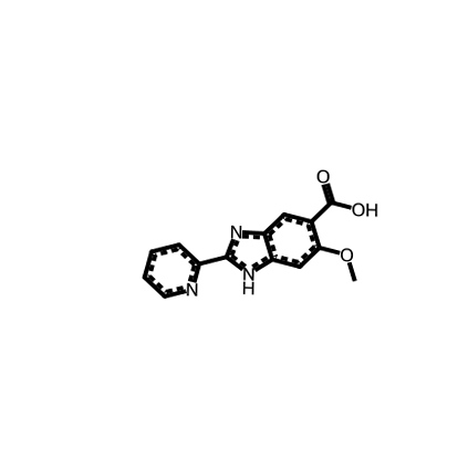 COc1cc2[nH]c(-c3ccccn3)nc2cc1C(=O)O